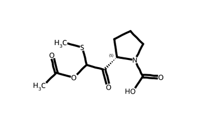 CSC(OC(C)=O)C(=O)[C@@H]1CCCN1C(=O)O